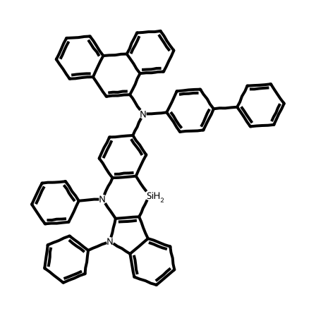 c1ccc(-c2ccc(N(c3ccc4c(c3)[SiH2]c3c(n(-c5ccccc5)c5ccccc35)N4c3ccccc3)c3cc4ccccc4c4ccccc34)cc2)cc1